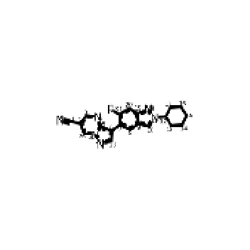 N#Cc1cnc2c(-c3cc4cn(C5CCCCC5)nc4cc3F)cnn2c1